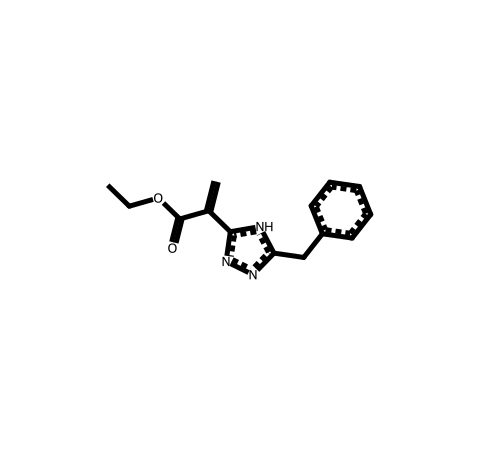 C=C(C(=O)OCC)c1nnc(Cc2ccccc2)[nH]1